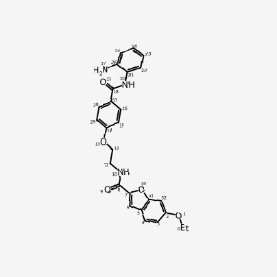 CCOc1ccc2cc(C(=O)NCCOc3ccc(C(=O)Nc4ccccc4N)cc3)oc2c1